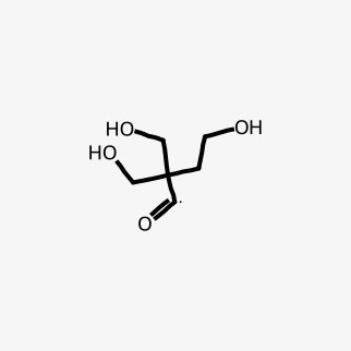 O=[C]C(CO)(CO)CCO